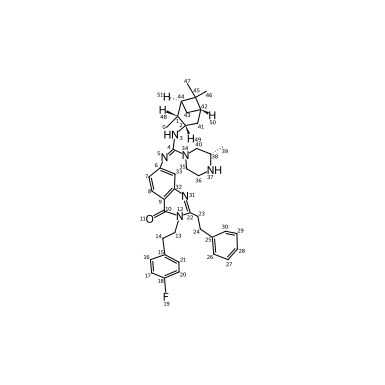 C[C@H]1[C@@H](NC(=Nc2ccc3c(=O)n(CCc4ccc(F)cc4)c(CCc4ccccc4)nc3c2)N2CCN[C@@H](C)C2)C[C@@H]2C[C@@H]1C2(C)C